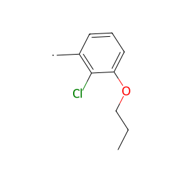 [CH2]c1cccc(OCCC)c1Cl